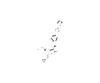 CCc1cc(N2CC(n3cccn3)C2)ccc1NC(=O)c1c(CC)nn(CCC2CC2)c1NC(=O)CS(C)(=O)=O